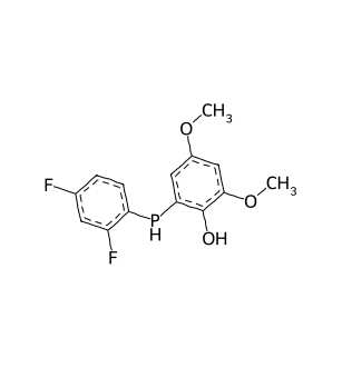 COc1cc(OC)c(O)c(Pc2ccc(F)cc2F)c1